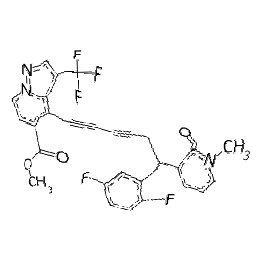 COC(=O)c1ccn2ncc(C(F)(F)F)c2c1C#CC#CCC(c1cc(F)ccc1F)c1cccn(C)c1=O